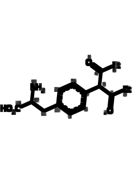 CCC(=O)C(C(=O)CC)c1ccc(CC(N)C(=O)O)cc1